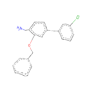 Nc1ccc(-c2cccc(Cl)c2)cc1OCc1ccccc1